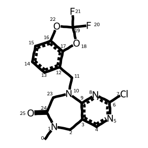 CN1Cc2cnc(Cl)nc2N(Cc2cccc3c2OC(F)(F)O3)CC1=O